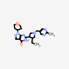 CCC1CN(Cc2cnc(C)nc2)CC1c1nc2c(cnn2C2CCOCC2)c(=O)[nH]1